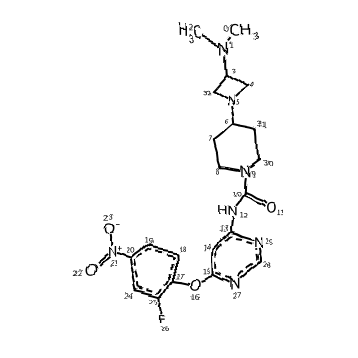 CN(C)C1CN(C2CCN(C(=O)Nc3cc(Oc4ccc([N+](=O)[O-])cc4F)ncn3)CC2)C1